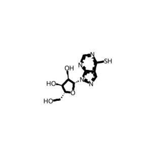 OC[C@H]1O[C@@H](n2ncc3c(S)ncnc32)[C@H](O)[C@@H]1O